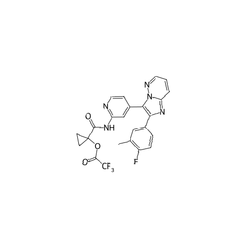 Cc1cc(-c2nc3cccnn3c2-c2ccnc(NC(=O)C3(OC(=O)C(F)(F)F)CC3)c2)ccc1F